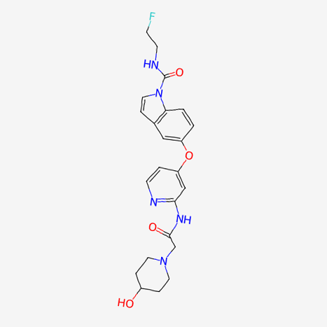 O=C(CN1CCC(O)CC1)Nc1cc(Oc2ccc3c(ccn3C(=O)NCCF)c2)ccn1